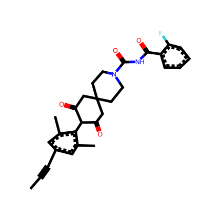 CC#Cc1cc(C)c(C2C(=O)CC3(CCN(C(=O)NC(=O)c4ccccc4F)CC3)CC2=O)c(C)c1